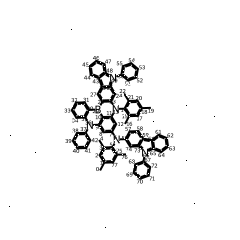 Cc1cc(C)c(N(c2cc3c4c(c2)N(c2c(C)cc(C)cc2C)c2cc5c(cc2B4c2ccccc2N3c2ccccc2)c2ccccc2n5-c2ccccc2)c2ccc3c4ccccc4n(-c4ccccc4)c3c2)c(C)c1